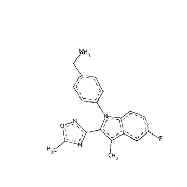 Cc1nc(-c2c(C)c3cc(F)ccc3n2-c2ccc(CN)cc2)no1